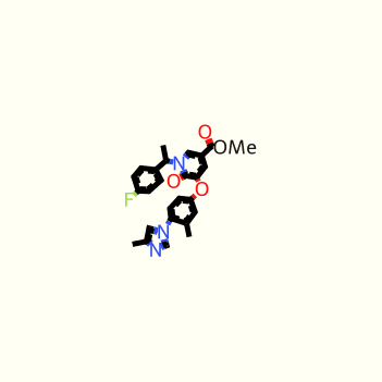 COC(=O)c1cc(Oc2ccc(-n3cnc(C)c3)c(C)c2)c(=O)n(C(C)c2ccc(F)cc2)c1